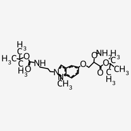 C[n+]1c2ccc(OCC(ON)C(=O)OC(C)(C)C)cc2cn1CCCNC(=O)OC(C)(C)C